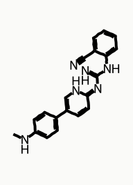 CNc1ccc(-c2cc/c(=N/C(=N)Nc3ccccc3C#N)[nH]c2)cc1